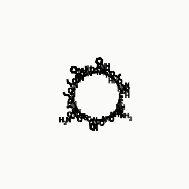 C=CC[C@@H]1NC(=O)[C@H](Cc2c[nH]c3ccccc23)NC(=O)[C@@H]2CCCN2C(=O)[C@H](CC(C)C)NC(=O)[C@H](Cc2c[nH]cn2)NC(=O)CCCCNC(=O)[C@H](CC(N)=O)NC(=O)[C@H](C)N(C)C(=O)[C@H](Cc2ccccn2)NC(=O)CSC[C@@H](C(=O)NCC(N)=O)NC(=O)[C@H](CC=C)NC(=O)[C@H](CCCC)N(C)C(=O)[C@H](CCCC)N(C)C(=O)[C@H](Cc2c[nH]c3ccccc23)NC1=O